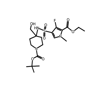 CCOC(=O)c1c(F)c(S(=O)(=O)NC2(CO)CCN(C(=O)OC(C)(C)C)CC2)cn1C